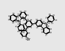 Brc1cccc(-c2cc(-c3ccc4c(c3)c3ccccc3n4-c3ccccc3)cc(-c3cccc4c5ccccc5n(-c5ccccc5)c34)c2)c1